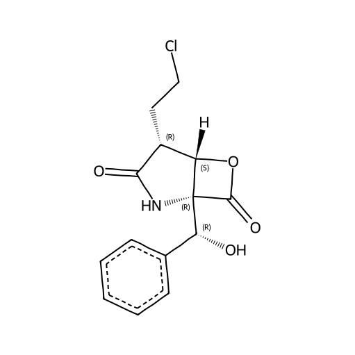 O=C1N[C@@]2([C@H](O)c3ccccc3)C(=O)O[C@H]2[C@H]1CCCl